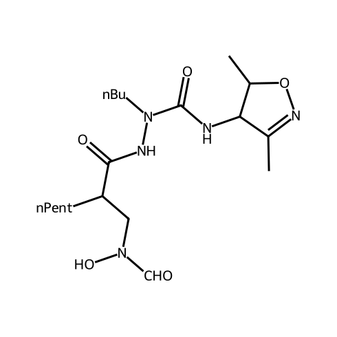 CCCCCC(CN(O)C=O)C(=O)NN(CCCC)C(=O)NC1C(C)=NOC1C